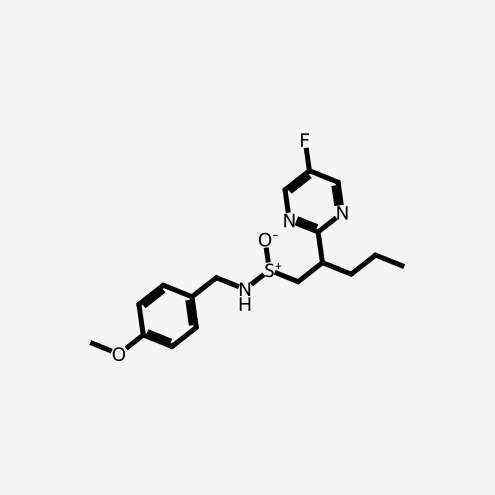 CCCC(C[S+]([O-])NCc1ccc(OC)cc1)c1ncc(F)cn1